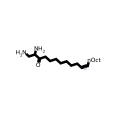 CCCCCCCC/C=C\CCCCCCCC(=O)C(N)CN